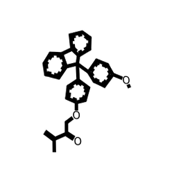 C=C(C)C(=O)COc1ccc(C2(c3ccc(OC)cc3)c3ccccc3-c3ccccc32)cc1